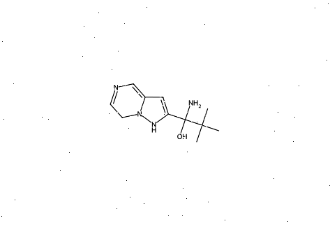 CC(C)(C)C(N)(O)C1=CC2=CN=CCN2N1